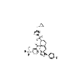 O=C(c1cc(C(F)(F)F)ccn1)[C@]12Cc3cnn(-c4ccc(F)cc4)c3C=C1CC[C@H](S(=O)(=O)c1ccn(CC3CC3)n1)C2